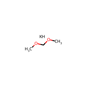 COCOC.[KH]